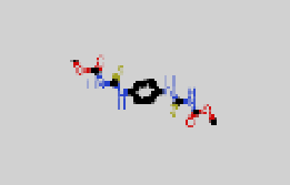 COC(=O)NC(=S)Nc1ccc(NC(=S)NC(=O)OC)cc1